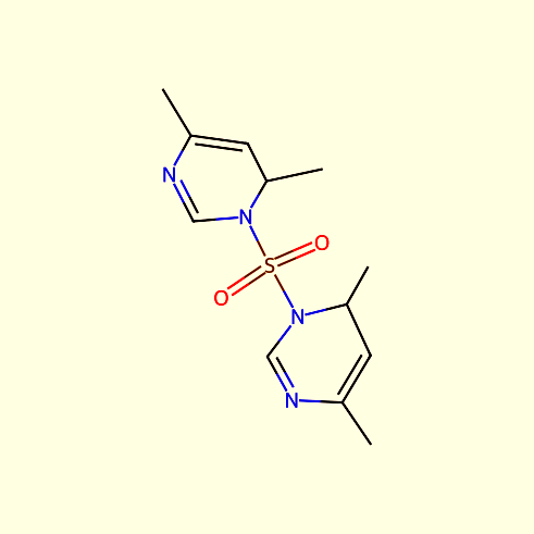 CC1=CC(C)N(S(=O)(=O)N2C=NC(C)=CC2C)C=N1